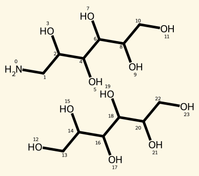 NCC(O)C(O)C(O)C(O)CO.OCC(O)C(O)C(O)C(O)CO